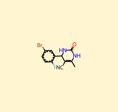 CC1=C(C#N)C(c2cc(Br)ccc2F)NC(=O)N1